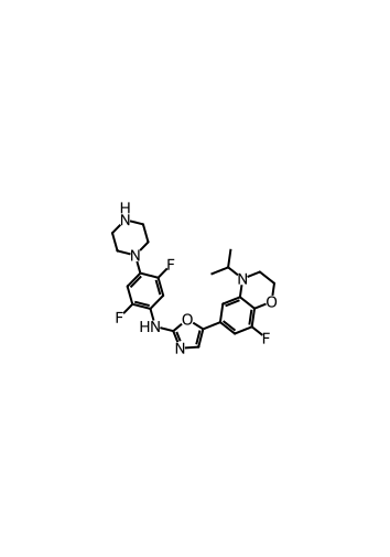 CC(C)N1CCOc2c(F)cc(-c3cnc(Nc4cc(F)c(N5CCNCC5)cc4F)o3)cc21